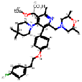 Cc1nc(CN2CC(C)OC(C)C2)c(-c2ccc(OCCc3ccc(F)cc3)cc2)c(N2CCC(C)(C)CC2)c1[C@H](OC(C)(C)C)C(=O)O